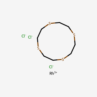 C1CSCCSCCSCCS1.[Cl-].[Cl-].[Cl-].[Rh+3]